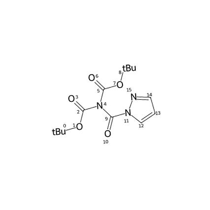 CC(C)(C)OC(=O)N(C(=O)OC(C)(C)C)C(=O)n1cccn1